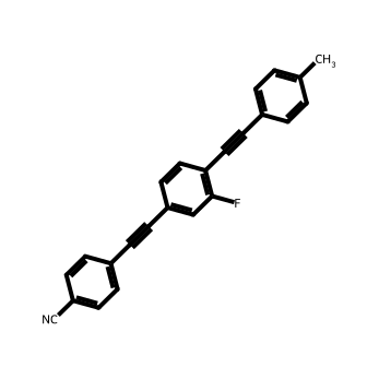 Cc1ccc(C#Cc2ccc(C#Cc3ccc(C#N)cc3)cc2F)cc1